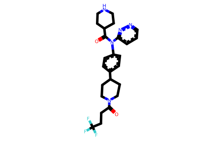 O=C(CCC(F)(F)F)N1CCC(c2ccc(N(C(=O)C3CCNCC3)c3cccnn3)cc2)CC1